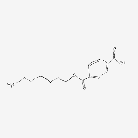 CCCCCCCOC(=O)c1ccc(C(=O)O)cc1